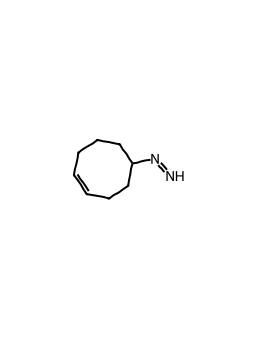 N=NC1CCC=CCCC1